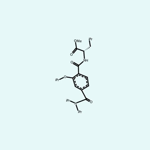 COC(=O)[C@H](CC(C)C)NC(=O)c1ccc(C(=O)N(C(C)C)C(C)C)cc1OC(C)C